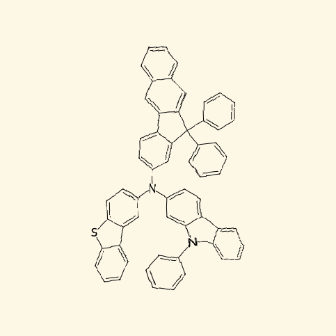 c1ccc(-n2c3ccccc3c3ccc(N(c4ccc5c(c4)C(c4ccccc4)(c4ccccc4)c4cc6ccccc6cc4-5)c4ccc5sc6ccccc6c5c4)cc32)cc1